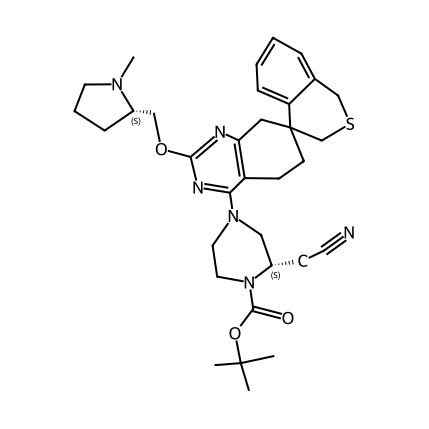 CN1CCC[C@H]1COc1nc2c(c(N3CCN(C(=O)OC(C)(C)C)[C@@H](CC#N)C3)n1)CCC1(CSCc3ccccc31)C2